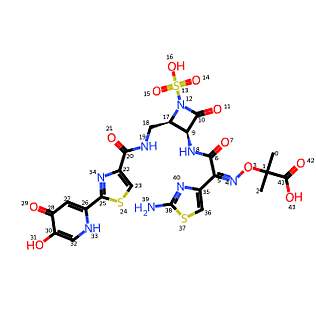 CC(C)(O/N=C(\C(=O)N[C@@H]1C(=O)N(S(=O)(=O)O)[C@@H]1CNC(=O)c1csc(-c2cc(=O)c(O)c[nH]2)n1)c1csc(N)n1)C(=O)O